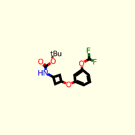 CC(C)(C)OC(=O)NC1CC(Oc2cccc(OC(F)F)c2)C1